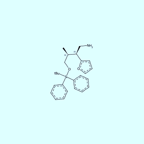 C[C@H](CO[Si](c1ccccc1)(c1ccccc1)C(C)(C)C)[C@@H](CN)c1ccco1